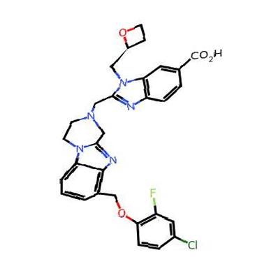 O=C(O)c1ccc2nc(CN3CCn4c(nc5c(COc6ccc(Cl)cc6F)cccc54)C3)n(C[C@@H]3CCO3)c2c1